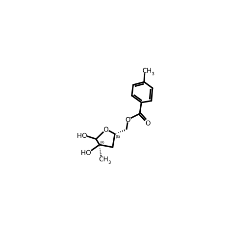 Cc1ccc(C(=O)OC[C@@H]2C[C@@](C)(O)C(O)O2)cc1